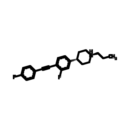 CCC[Si@H]1CC[C@H](c2ccc(C#Cc3ccc(F)cc3)c(F)c2)CC1